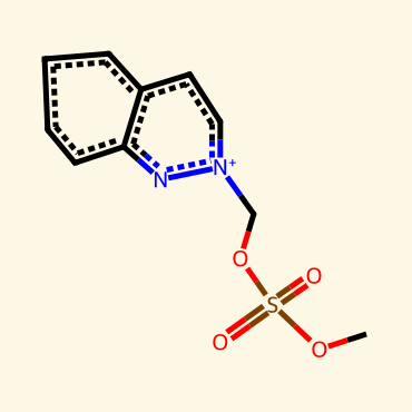 COS(=O)(=O)OC[n+]1ccc2ccccc2n1